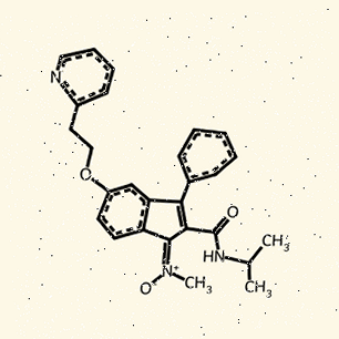 CC(C)NC(=O)C1=C(c2ccccc2)c2cc(OCCc3ccccn3)ccc2/C1=[N+](/C)[O-]